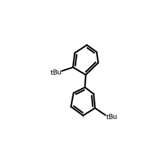 CC(C)(C)c1[c]ccc(-c2ccccc2C(C)(C)C)c1